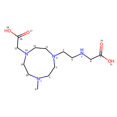 CN1CCN(CCNCC(=O)O)CCN(CC(=O)O)CC1